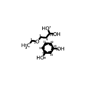 CCOCCC(O)O.Oc1cccc(O)c1